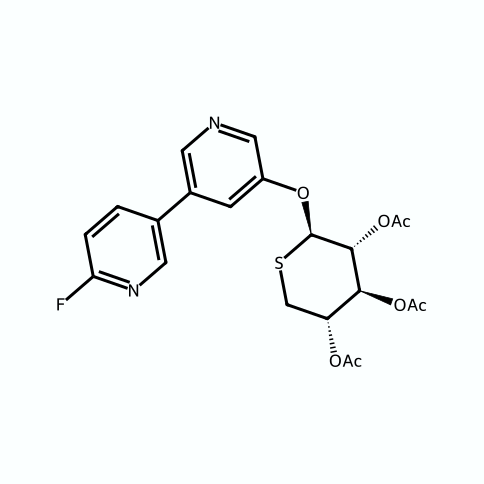 CC(=O)O[C@@H]1[C@@H](OC(C)=O)[C@H](OC(C)=O)CS[C@H]1Oc1cncc(-c2ccc(F)nc2)c1